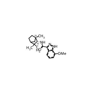 COc1cccc2c(C(=O)N[C@@H]3C(C)(C)C4CC[C@@]3(C)C4)n[nH]c12